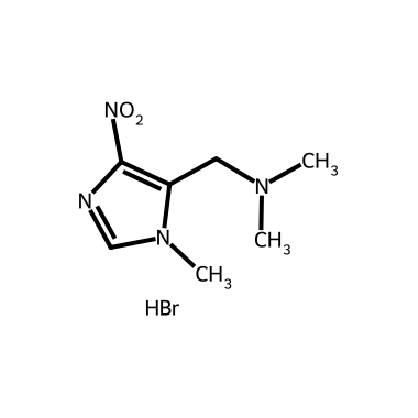 Br.CN(C)Cc1c([N+](=O)[O-])ncn1C